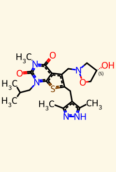 Cc1n[nH]c(C)c1Cc1sc2c(c1CN1C[C@H](O)CO1)c(=O)n(C)c(=O)n2CC(C)C